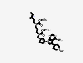 C/C=C(\C)CCN(CCCN(C[C@@H]1CC[C@H](n2cc(C3CCN(C(C)=O)CC3)c3c(N)ncnc32)C1)C(=O)OC(C)(C)C)C(=O)OC(C)(C)C